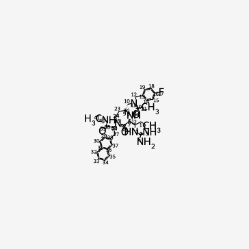 CCC(NC(=N)N)[C@@H]1N[C@@H](CN(Cc2ccc(F)cc2)C(C)=O)CCN([C@@H](Cc2ccc3ccccc3c2)C(=O)NC)C1=O